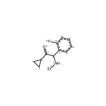 CCNC(C(=O)C1CC1)c1ccccc1F